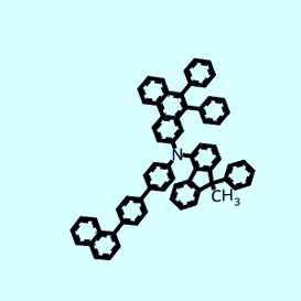 CC1(c2ccccc2)c2ccccc2-c2c(N(c3ccc(-c4ccc(-c5cccc6ccccc56)cc4)cc3)c3ccc4c(c3)c(-c3ccccc3)c(-c3ccccc3)c3ccccc34)cccc21